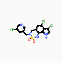 O=S1(=O)Nc2c(cc(Cl)c3c(Cl)c[nH]c23)CN1Cc1cncc(Cl)c1